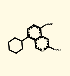 CNc1ncc2c(C3CCCCC3)ccc(OC)c2n1